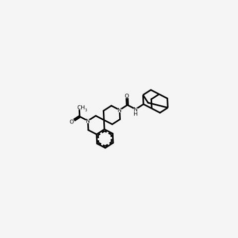 CC(=O)N1Cc2ccccc2C2(CCN(C(=O)NC3C4CC5CC(C4)CC3C5)CC2)C1